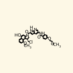 COCCOc1ccc(C(=O)Nc2cnc3[nH]c(C(=O)N4C[C@@H](CCl)c5c4cc(O)c4cccc(OC)c54)cc3c2)cc1